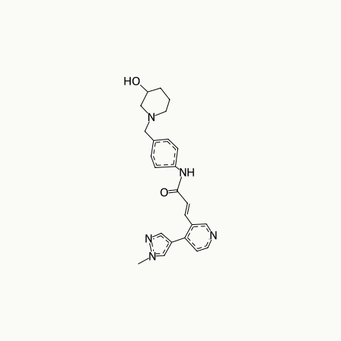 Cn1cc(-c2ccncc2C=CC(=O)Nc2ccc(CN3CCCC(O)C3)cc2)cn1